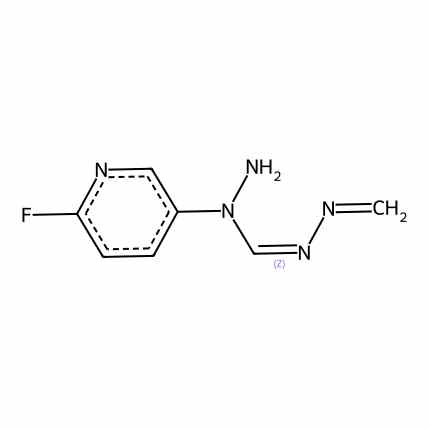 C=N/N=C\N(N)c1ccc(F)nc1